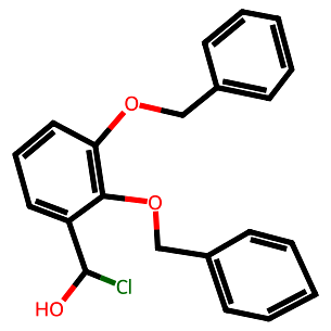 OC(Cl)c1cccc(OCc2ccccc2)c1OCc1ccccc1